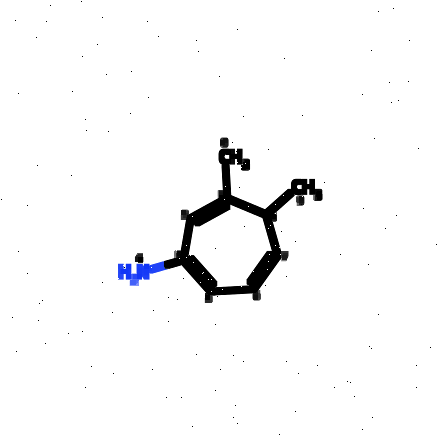 CC1=CC(N)=CC=CC1C